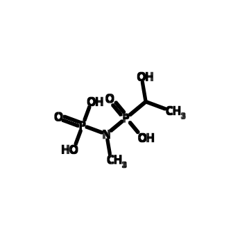 CC(O)P(=O)(O)N(C)P(=O)(O)O